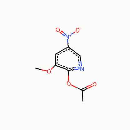 COc1cc([N+](=O)[O-])cnc1OC(C)=O